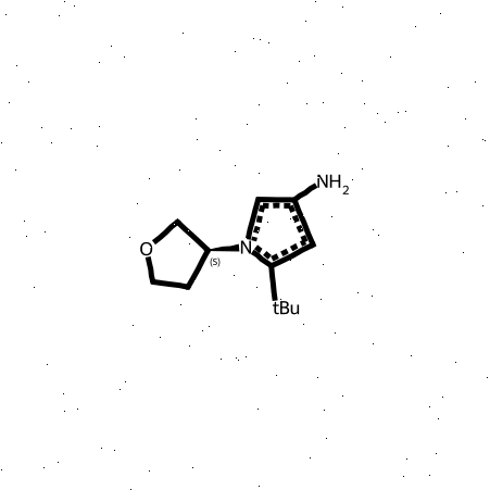 CC(C)(C)c1cc(N)cn1[C@H]1CCOC1